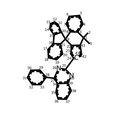 CC1(C)c2ccccc2C2(c3ccccc3-c3ccccc32)c2cc(-c3nc(-c4ccccc4)c4ccccc4n3)ccc21